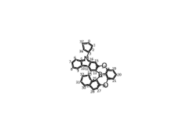 c1ccc(-n2c3ccccc3c3cc4c(cc32)Oc2cccc3c2B4c2c(ccc4ccccc24)O3)cc1